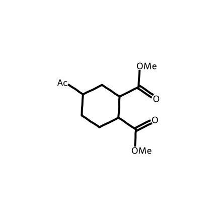 COC(=O)C1CCC(C(C)=O)CC1C(=O)OC